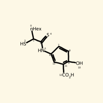 CCCCCCC(S)C(=S)Nc1ccc(O)c(C(=O)O)c1